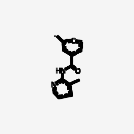 [CH2]c1cccc(C(=O)Nc2ncccc2C)c1